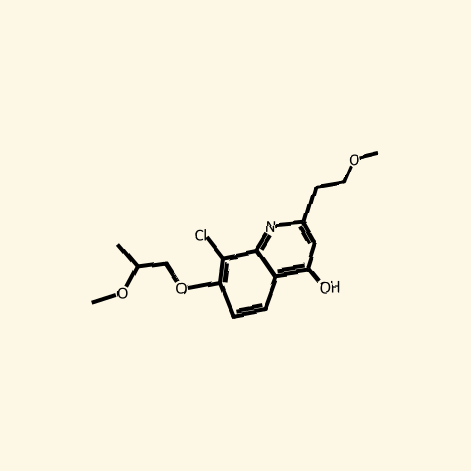 COCCc1cc(O)c2ccc(OCC(C)OC)c(Cl)c2n1